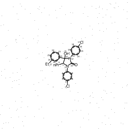 CCCC1N(c2ccc(Cl)cc2)C(=O)N(c2ccc(Cl)cc2)C1(O)c1cccc(CC)c1